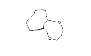 [CH]1CCC2OCCOC2C1